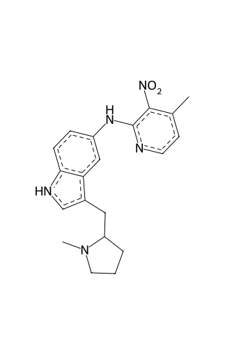 Cc1ccnc(Nc2ccc3[nH]cc(CC4CCCN4C)c3c2)c1[N+](=O)[O-]